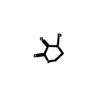 C[CH]N1CCSC(=O)C1=O